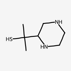 CC(C)(S)C1CNCCN1